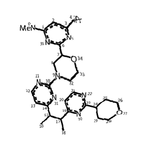 CNc1cc(C(C)C)nc(C2CN(c3nccc(C(C)C(C)c4ccnc(C5CCOCC5)n4)n3)CCO2)n1